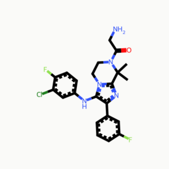 CC1(C)c2nc(-c3cccc(F)c3)c(Nc3ccc(F)c(Cl)c3)n2CCN1C(=O)CN